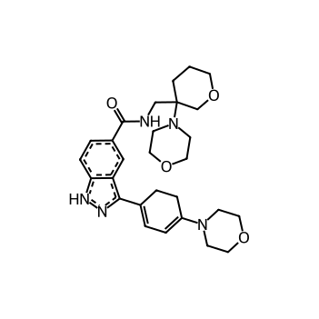 O=C(NCC1(N2CCOCC2)CCCOC1)c1ccc2[nH]nc(C3=CC=C(N4CCOCC4)CC3)c2c1